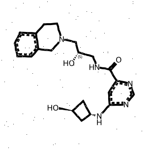 O=C(NC[C@H](O)CN1CCc2ccccc2C1)c1cc(N[C@H]2C[C@H](O)C2)ncn1